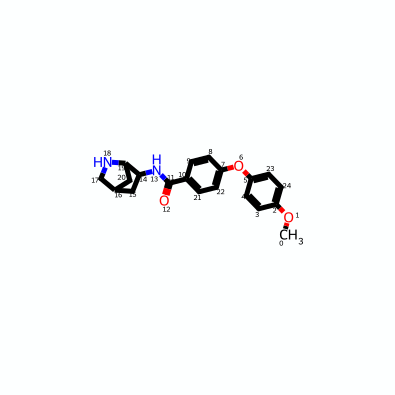 COc1ccc(Oc2ccc(C(=O)NC3CC4CNC3C4)cc2)cc1